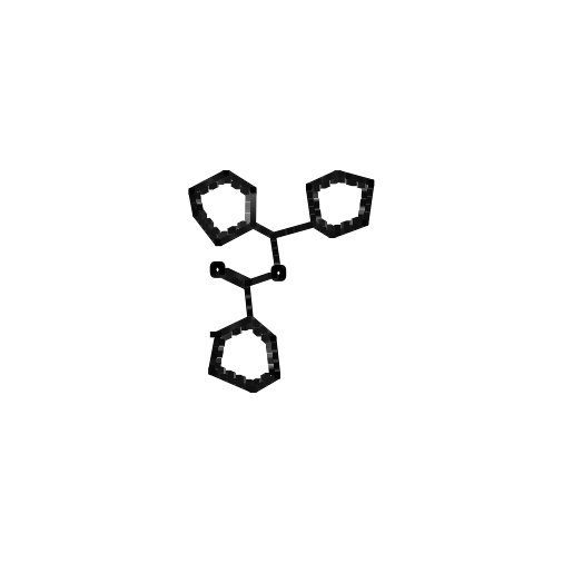 O=C(OC(c1ccccc1)c1ccccc1)c1[c]cccc1